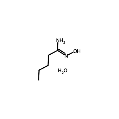 CCCCC(N)=NO.O